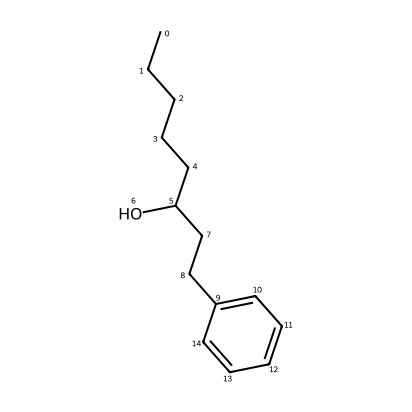 CCCCCC(O)CCc1ccccc1